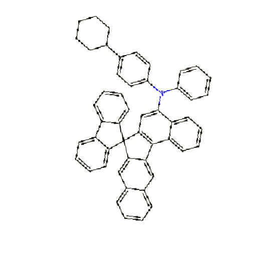 c1ccc(N(c2ccc(C3CCCCC3)cc2)c2cc3c(c4ccccc24)-c2cc4ccccc4cc2C32c3ccccc3-c3ccccc32)cc1